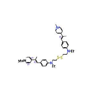 C/C=C(\C=C/NC)C(/C)=C/c1ccc(N(CC)CCSSCCN(CC)c2ccc(/C=C(\C)c3cc[n+](C)cc3)cc2)cc1